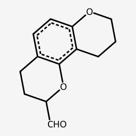 O=CC1CCc2ccc3c(c2O1)CCCO3